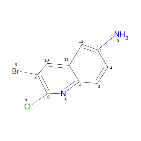 Nc1ccc2nc(Cl)c(Br)cc2c1